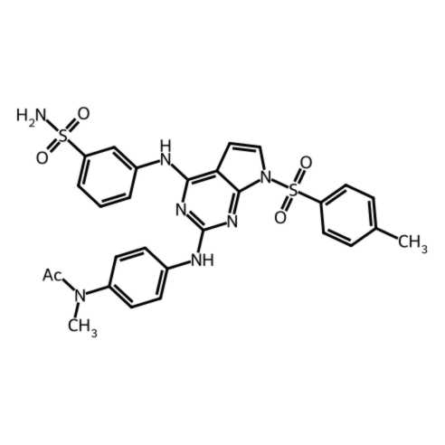 CC(=O)N(C)c1ccc(Nc2nc(Nc3cccc(S(N)(=O)=O)c3)c3ccn(S(=O)(=O)c4ccc(C)cc4)c3n2)cc1